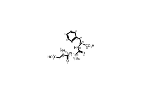 CC[C@H](C)[C@H](NC(=O)[C@@H](N)CC(=O)O)C(=O)N[C@@H](Cc1ccccc1)C(=O)O